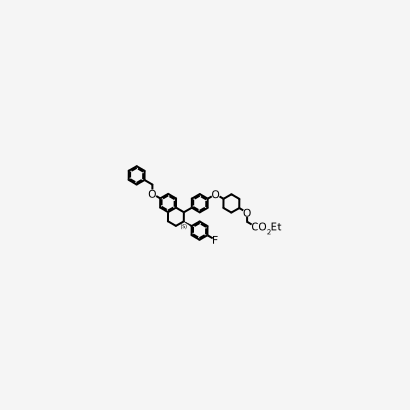 CCOC(=O)COC1CCC(Oc2ccc(C3c4ccc(OCc5ccccc5)cc4CC[C@@H]3c3ccc(F)cc3)cc2)CC1